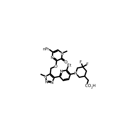 CCCc1cn(C)c(=O)c(OCc2c(-c3ccc(N4CC(CC(=O)O)CC(F)(F)C4)c(CC)n3)nnn2C)n1